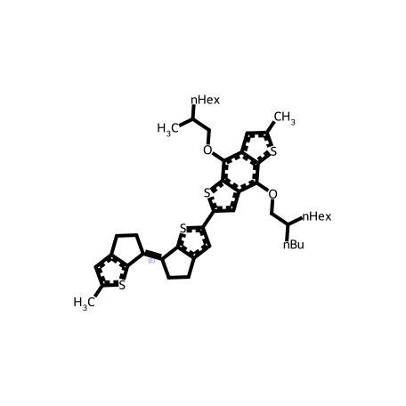 CCCCCCC(C)COc1c2cc(C)sc2c(OCC(CCCC)CCCCCC)c2cc(-c3cc4c(s3)/C(=C3\CCc5cc(C)sc53)CC4)sc12